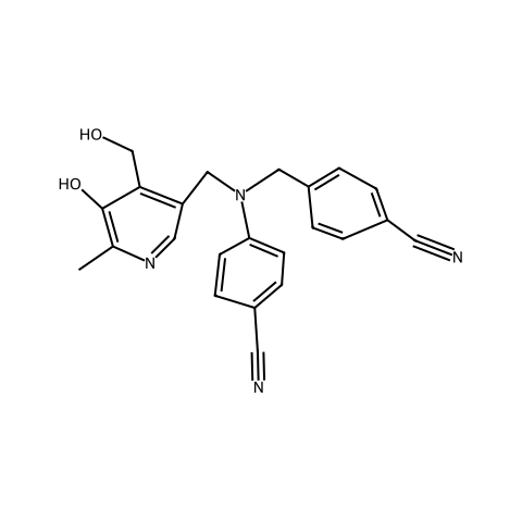 Cc1ncc(CN(Cc2ccc(C#N)cc2)c2ccc(C#N)cc2)c(CO)c1O